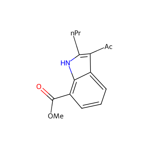 CCCc1[nH]c2c(C(=O)OC)cccc2c1C(C)=O